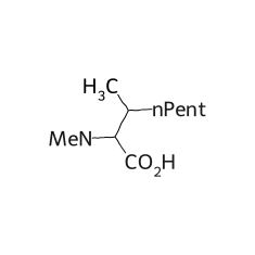 CCCCCC(C)C(NC)C(=O)O